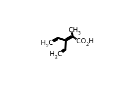 C=CC(C=C)=C(C)C(=O)O